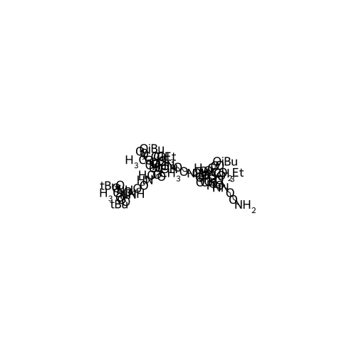 CCOC(=O)C(C)(COC(=O)OCC(C)C)COC(=O)OCC(C)(COC(=O)OCC(C)(CO)C(=O)OCC(O)CNCCOCCOCCN)C(=O)OCC(O)CNCCOCCOCCNCC(O)COC(=O)C(C)(COC(=O)OCC(C)(CO)C(=O)OCC(O)CNCCOCCOCCNC(=O)CC(NC(=O)C(C)NC(=O)OC(C)(C)C)C(=O)OC(C)(C)C)COC(=O)OCC(C)(COC(=O)OCC(C)C)C(=O)OCC